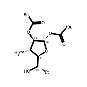 CC[C@H](O)[C@@H]1O[C@@H](OC(=O)C(C)(C)C)[C@H](OC(=O)C(C)(C)C)[C@H]1C